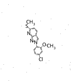 COc1cc(Cl)ccc1-n1cc2ccc(SC)nc2n1